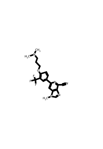 CN(C)CCCOc1ccc(-c2cc3c(ncn3C)c(C#N)n2)cc1C(F)(F)F